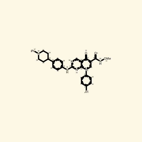 CCc1ccc(-n2cc(C(=O)NOC)c(=O)c3cnc(Nc4ccc(C5CCN(C(C)C)CC5)cc4)nc32)cc1